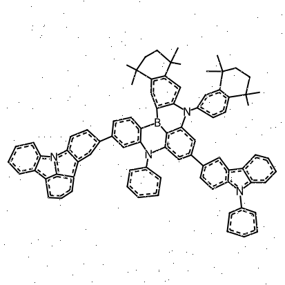 CC1(C)CCC(C)(C)c2cc(N3c4cc5c(cc4B4c6ccc(-c7ccc8c(c7)c7cccc9c%10ccccc%10n8c97)cc6N(c6ccccc6)c6cc(-c7ccc8c(c7)c7ccccc7n8-c7ccccc7)cc3c64)C(C)(C)CCC5(C)C)ccc21